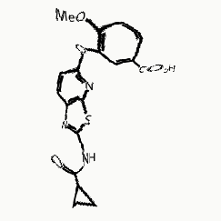 COc1ccc(C(=O)O)cc1Oc1ccc2nc(NC(=O)C3CC3)sc2n1